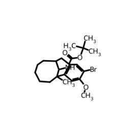 COc1cc2c(cc1Br)CC1CCCCCC2(C)C1NC(=O)OC(C)(C)C